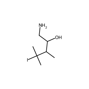 CC(C(O)CN)C(C)(C)I